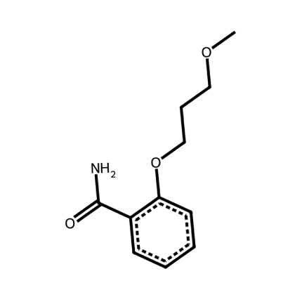 COCCCOc1ccccc1C(N)=O